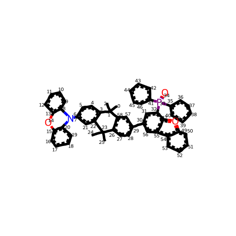 CC1(C)c2ccc(N3c4ccccc4Oc4ccccc43)cc2C(C)(C)c2ccc(-c3cc(P(=O)(c4ccccc4)c4ccccc4)c4oc5ccccc5c4c3)cc21